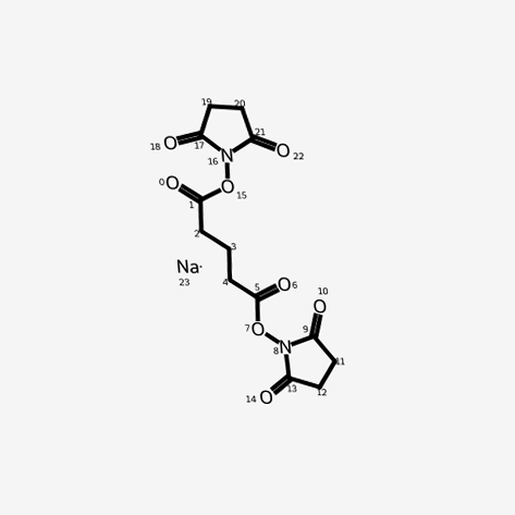 O=C(CCCC(=O)ON1C(=O)CCC1=O)ON1C(=O)CCC1=O.[Na]